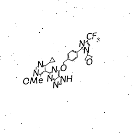 COc1ncnc(C2CC2)c1-c1nc(OCc2ccc(-c3nc(C(F)(F)F)cn3C3COC3)cc2)c2[nH]cnc2n1